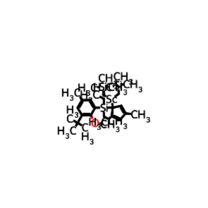 CC[Si](CC)(c1cc(C)cc(C(C)(C)C)c1OC)[C]1([Sc]([CH2][Si](C)(C)C)[CH2][Si](C)(C)C)C=C(C)C=C1C